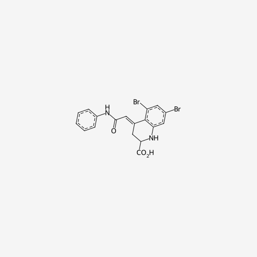 O=C(C=C1CC(C(=O)O)Nc2cc(Br)cc(Br)c21)Nc1ccccc1